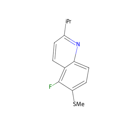 CSc1ccc2nc(C(C)C)ccc2c1F